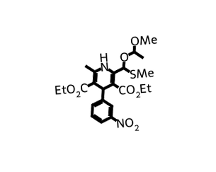 CCOC(=O)C1=C(C)NC(C(OC(C)OC)SC)=C(C(=O)OCC)C1c1cccc([N+](=O)[O-])c1